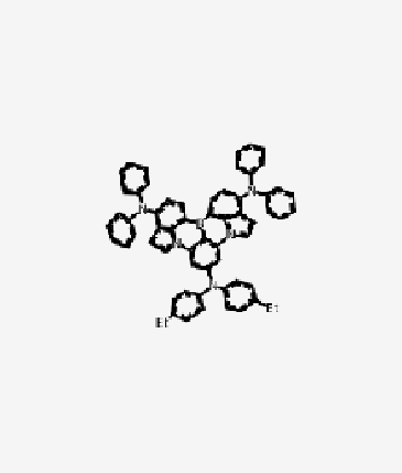 CCc1ccc(N(c2ccc(CC)cc2)c2cc3c4c(c2)-n2ccc5c(N(c6ccccc6)c6ccccc6)ccc(c52)B4c2ccc(N(c4ccccc4)c4ccccc4)c4ccn-3c24)cc1